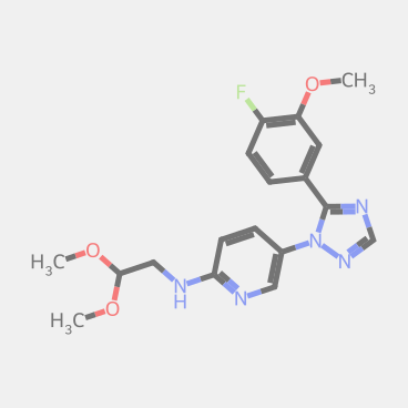 COc1cc(-c2ncnn2-c2ccc(NCC(OC)OC)nc2)ccc1F